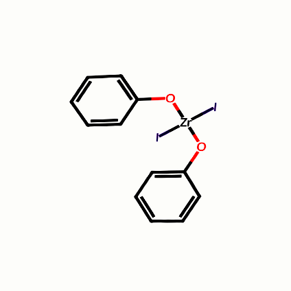 [I][Zr]([I])([O]c1ccccc1)[O]c1ccccc1